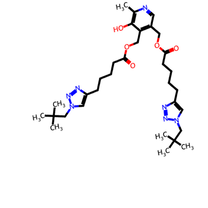 Cc1ncc(COC(=O)CCCCc2cn(CC(C)(C)C)nn2)c(COC(=O)CCCCc2cn(CC(C)(C)C)nn2)c1O